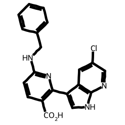 O=C(O)c1ccc(NCc2ccccc2)nc1-c1c[nH]c2ncc(Cl)cc12